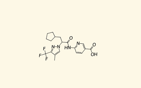 Cc1cn(C(CC2CCCC2)C(=O)Nc2ccc(C(=O)O)cn2)nc1C(F)(F)F